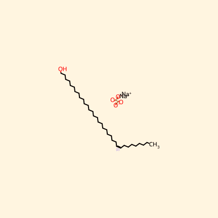 CCCCCCCC/C=C\CCCCCCCCCCCCCCCCCCCCCCCCO.O=S(=O)([O-])[O-].[Na+].[Na+]